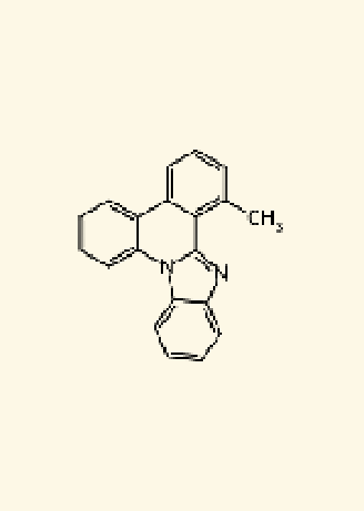 Cc1cccc2c3ccccc3n3c4ccccc4nc3c12